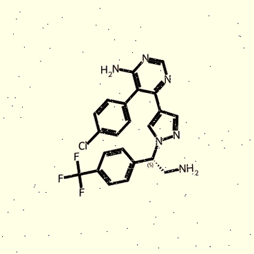 NC[C@H](c1ccc(C(F)(F)F)cc1)n1cc(-c2ncnc(N)c2-c2ccc(Cl)cc2)cn1